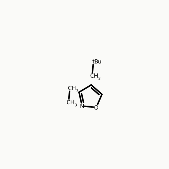 CC.CC(C)(C)C.c1cnoc1